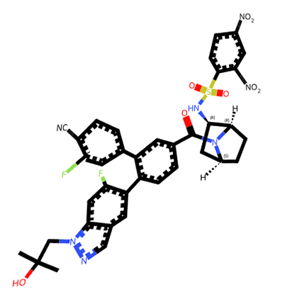 CC(C)(O)Cn1ncc2cc(-c3ccc(C(=O)N4[C@H]5CC[C@@H]4[C@H](NS(=O)(=O)c4ccc([N+](=O)[O-])cc4[N+](=O)[O-])C5)cc3-c3ccc(C#N)c(F)c3)c(F)cc21